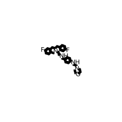 Fc1ccc(CC2Cc3cc(F)ccc3CN2CCNCc2ccc(NCCN3CCOCC3)cc2)cc1